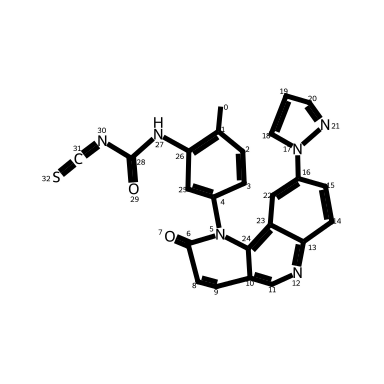 Cc1ccc(-n2c(=O)ccc3cnc4ccc(-n5cccn5)cc4c32)cc1NC(=O)N=C=S